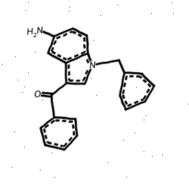 Nc1ccc2c(c1)c(C(=O)c1ccccc1)cn2Cc1ccccc1